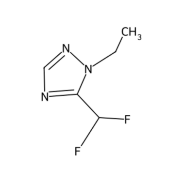 CCn1ncnc1C(F)F